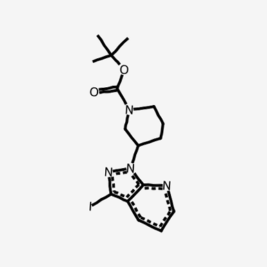 CC(C)(C)OC(=O)N1CCCC(n2nc(I)c3cccnc32)C1